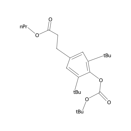 CCCOC(=O)CCc1cc(C(C)(C)C)c(OC(=O)OC(C)(C)C)c(C(C)(C)C)c1